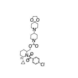 O=C(OCC1CCC[C@@H](C2CC2)N1S(=O)(=O)c1ccc(Cl)cc1)N1CCC(N2CCC3(CC2)OCCO3)CC1